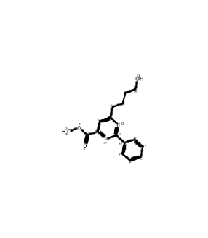 COC(=O)c1cc(CCCCO)nc(-c2ccccc2)n1